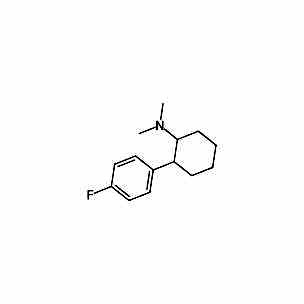 CN(C)C1CCCCC1c1ccc(F)cc1